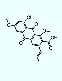 CC=Cc1cc2c(c(OC)c1C(=O)O)C(=O)c1c(O)cc(OC)cc1C2=O